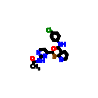 CC(=O)Nc1nccc(CSc2ncccc2C(=O)Nc2ccc(Cl)cc2)n1